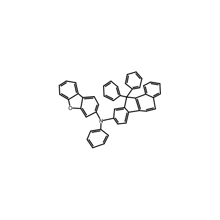 c1ccc(N(c2ccc3c(c2)C(c2ccccc2)(c2ccccc2)c2c-3ccc3ccccc23)c2ccc3c(c2)oc2ccccc23)cc1